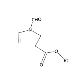 C=CN(C=O)CCC(=O)OCC